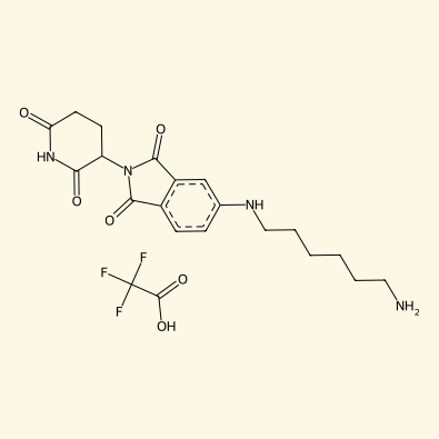 NCCCCCCNc1ccc2c(c1)C(=O)N(C1CCC(=O)NC1=O)C2=O.O=C(O)C(F)(F)F